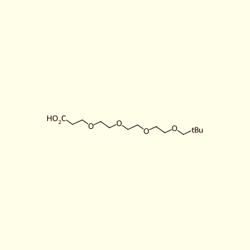 CC(C)(C)COCCOCCOCCOCCC(=O)O